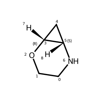 C1CO[C@@H]2C[C@@H]2N1